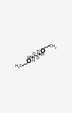 C=CCCc1ccc(NNC(=O)C(=O)NNc2ccc(CCC=C)cc2)cc1